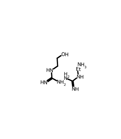 CCNC(=N)N.N.N=C(N)NCCO